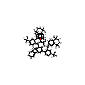 CC(C)(C)c1ccc(-c2cc3c(oc4ccccc43)c3c2Bc2sc4cc5c(cc4c2N3c2ccc(C(C)(C)C)cc2-c2ccccc2)C(C)(C)CCC5(C)C)c(Nc2ccc3c(c2)C(C)(C)CCC3(C)C)c1